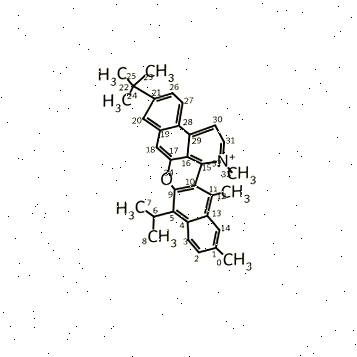 Cc1ccc2c(C(C)C)c3c(c(C)c2c1)-c1c2c(cc4cc(C(C)(C)C)ccc4c2cc[n+]1C)O3